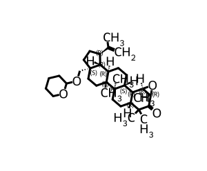 C=C(C)[C@@H]1CC[C@]2(COC3CCCCO3)CC[C@]3(C)[C@H](CC[C@@H]4[C@@]5(C)[C@H]6O[C@H]6C(=O)C(C)(C)[C@@H]5CC[C@]43C)[C@@H]12